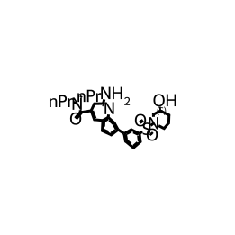 CCCN(CCC)C(=O)C1=Cc2ccc(-c3cccc(S(=O)(=O)N4CCC[C@H](O)C4)c3)cc2N=C(N)C1